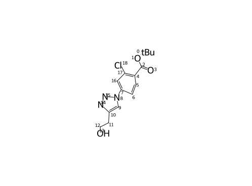 CC(C)(C)OC(=O)c1ccc(-n2cc(CCO)nn2)cc1Cl